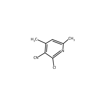 [C-]#[N+]c1c(C)cc(C)nc1Cl